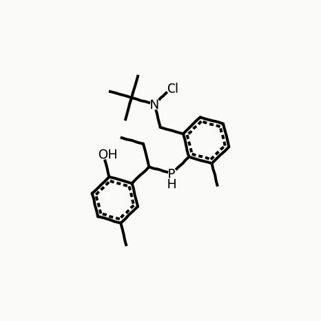 CCC(Pc1c(C)cccc1CN(Cl)C(C)(C)C)c1cc(C)ccc1O